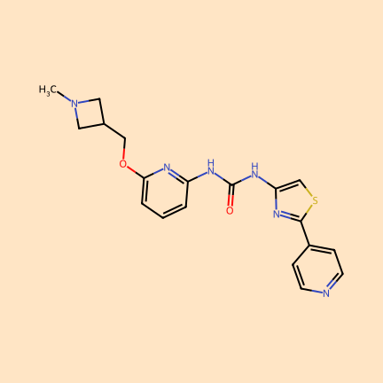 CN1CC(COc2cccc(NC(=O)Nc3csc(-c4ccncc4)n3)n2)C1